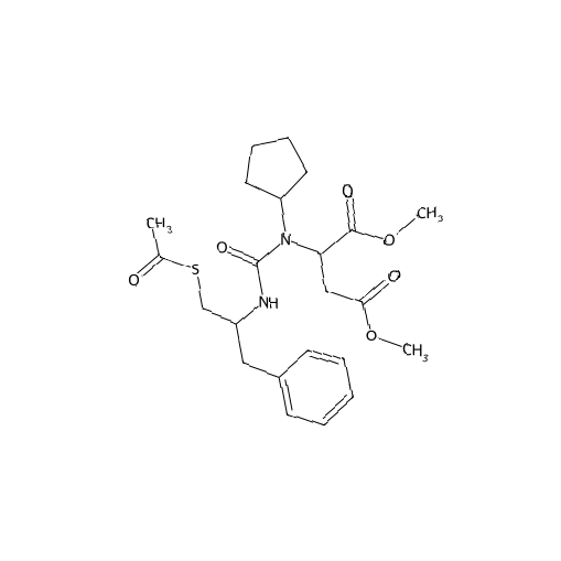 COC(=O)CC(C(=O)OC)N(C(=O)NC(CSC(C)=O)Cc1ccccc1)C1CCCC1